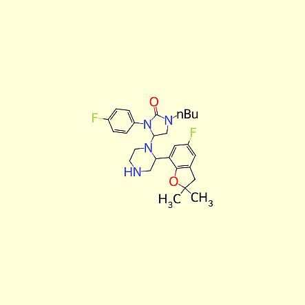 CCCCN1CC(N2CCNCC2c2cc(F)cc3c2OC(C)(C)C3)N(c2ccc(F)cc2)C1=O